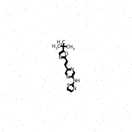 CC(C)(C)c1cnc(/C=C/c2cnc(Nc3nccs3)cn2)o1